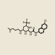 CN(C)CCCNC1CC(C(F)(F)F)NC(NC(=O)Nc2ccc3ccc(Cl)cc3c2)N1